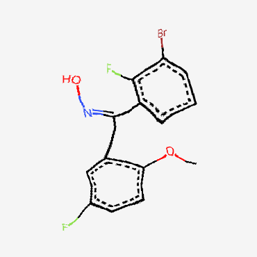 COc1ccc(F)cc1/C(=N/O)c1cccc(Br)c1F